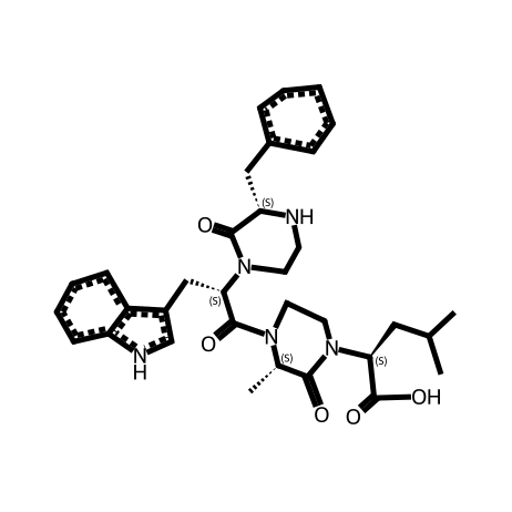 CC(C)C[C@@H](C(=O)O)N1CCN(C(=O)[C@H](Cc2c[nH]c3ccccc23)N2CCN[C@@H](Cc3ccccc3)C2=O)[C@@H](C)C1=O